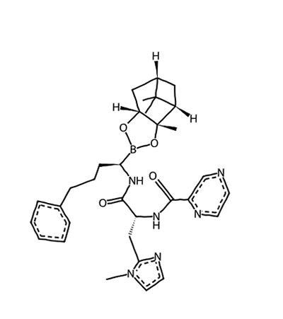 Cn1ccnc1C[C@@H](NC(=O)c1cnccn1)C(=O)N[C@@H](CCCc1ccccc1)B1O[C@@H]2C[C@@H]3C[C@@H](C3(C)C)[C@]2(C)O1